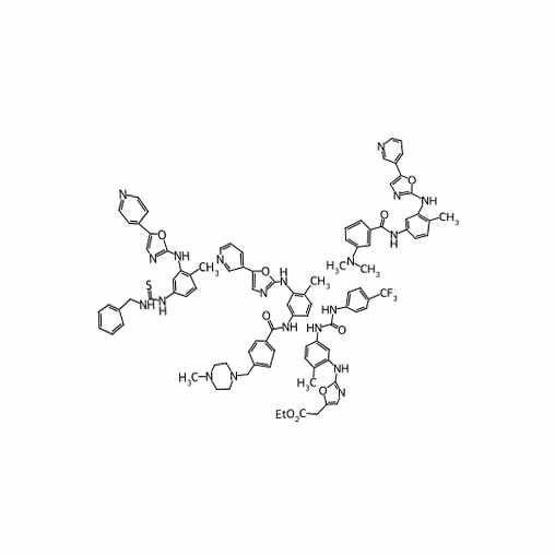 CCOC(=O)Cc1cnc(Nc2cc(NC(=O)Nc3ccc(C(F)(F)F)cc3)ccc2C)o1.Cc1ccc(NC(=O)c2ccc(CN3CCN(C)CC3)cc2)cc1Nc1ncc(-c2cccnc2)o1.Cc1ccc(NC(=O)c2cccc(N(C)C)c2)cc1Nc1ncc(-c2cccnc2)o1.Cc1ccc(NC(=S)NCc2ccccc2)cc1Nc1ncc(-c2ccncc2)o1